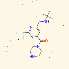 CC(C)(C)NCc1cc(C(=O)N2CCNCC2)nc(C(F)(F)F)n1